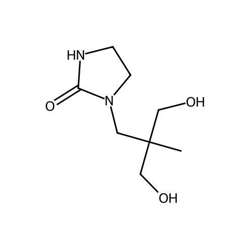 CC(CO)(CO)CN1CCNC1=O